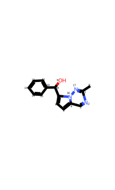 Cc1ncc2ccc(C(O)c3ccccc3)n2n1